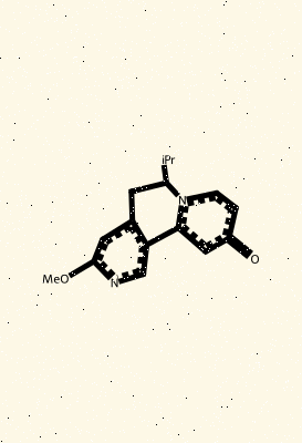 COc1cc2c(cn1)-c1cc(=O)ccn1C(C(C)C)C2